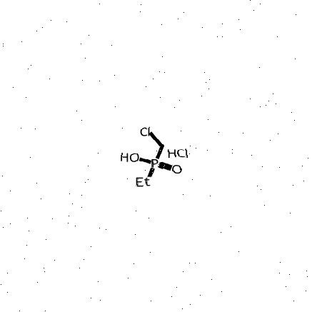 CCP(=O)(O)CCl.Cl